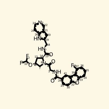 O=C(NCC(=O)N1C[C@H](OC(F)F)C[C@H]1C(=O)NCc1cc2cnccc2[nH]1)c1ccc2oc3cccc(F)c3c2c1